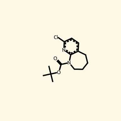 CC(C)(C)OC(=O)N1CCCCc2ccc(Cl)nc21